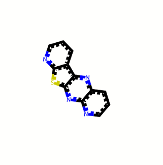 c1cnc2nc3sc4ncccc4c3nc2c1